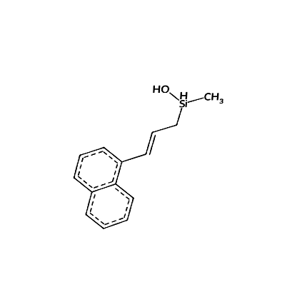 C[SiH](O)CC=Cc1cccc2ccccc12